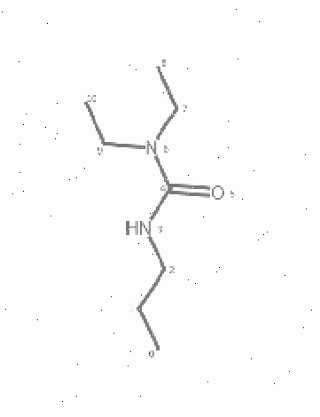 CCCNC(=O)N(CC)CC